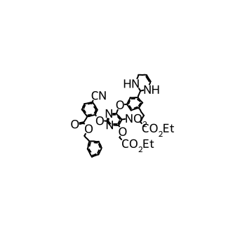 CCOC(=O)CCc1cc(Oc2nc(Oc3cc(C#N)ccc3C(=O)OCc3ccccc3)nc(OCC(=O)OCC)c2[N+](=O)[O-])cc(C2NC=CCN2)c1